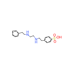 O=S(=O)(O)c1ccc(CCNCCNCCc2ccccc2)cc1